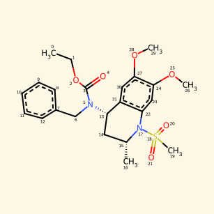 CCOC(=O)N(Cc1ccccc1)[C@H]1C[C@@H](C)N(S(C)(=O)=O)c2cc(OC)c(OC)cc21